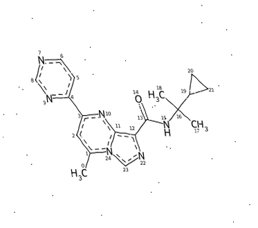 Cc1cc(-c2ccncn2)nc2c(C(=O)NC(C)(C)C3CC3)ncn12